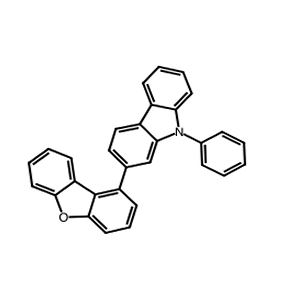 c1ccc(-n2c3ccccc3c3ccc(-c4cccc5oc6ccccc6c45)cc32)cc1